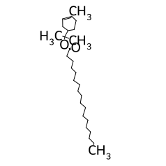 CCCCCCCCCCCCCCCCCC(=O)OC(C)(C)C1CC=C(C)CC1